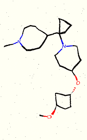 CO[C@H]1C[C@H](OC2CCN(C3(C4CCN(C)CC4)CC3)CC2)C1